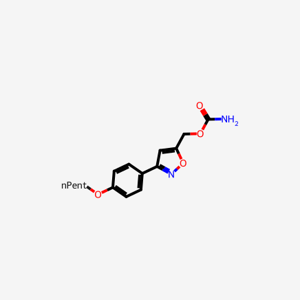 CCCCCOc1ccc(-c2cc(COC(N)=O)on2)cc1